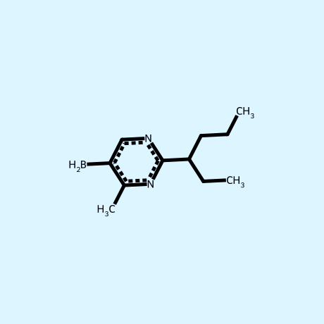 Bc1cnc(C(CC)CCC)nc1C